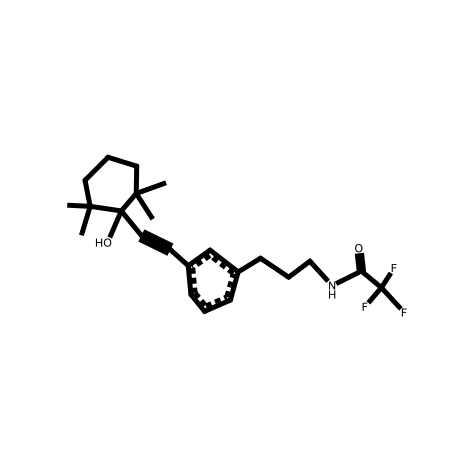 CC1(C)CCCC(C)(C)C1(O)C#Cc1cccc(CCCNC(=O)C(F)(F)F)c1